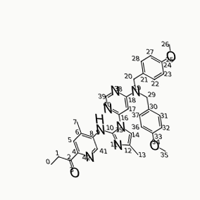 CCC(=O)c1cc(C)c(Nc2nc(C)cn2-c2cc(N(Cc3ccc(OC)cc3)Cc3ccc(OC)cc3)ncn2)cn1